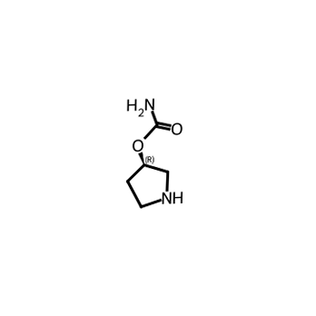 NC(=O)O[C@@H]1CCNC1